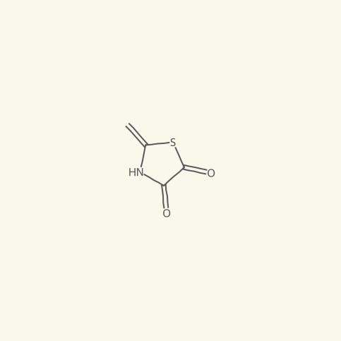 C=C1NC(=O)C(=O)S1